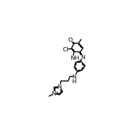 CC1=C/C(=N/c2ccc(NCCCn3cc[n+](C)c3)cc2)C(N)=C(Cl)C1=O